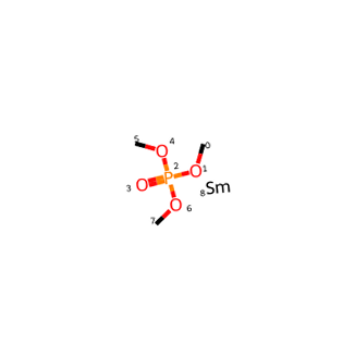 COP(=O)(OC)OC.[Sm]